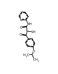 CC(C)Oc1ccc(C(=O)N(S)C(=O)Nc2ccccn2)cc1